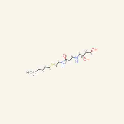 O=C(O)CCCCSCCNC(=O)CCNCC(O)CCO